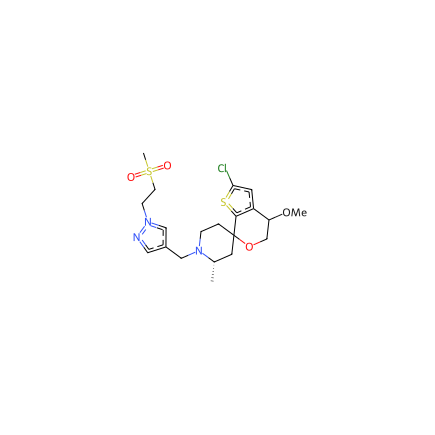 COC1COC2(CCN(Cc3cnn(CCS(C)(=O)=O)c3)[C@@H](C)C2)c2sc(Cl)cc21